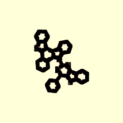 c1ccc(-c2nc(-n3c4ccccc4c4c5c6ccccc6sc5c5ccccc5c43)nc3c2sc2ccccc23)cc1